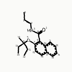 CCCNC(=O)c1c(OC(C)(CC)CC)ccc2ccccc12